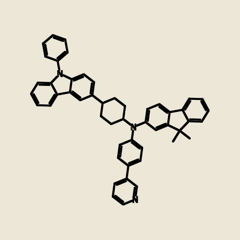 CC1(C)c2ccccc2-c2ccc(N(c3ccc(-c4cccnc4)cc3)C3CCC(c4ccc5c(c4)c4ccccc4n5-c4ccccc4)CC3)cc21